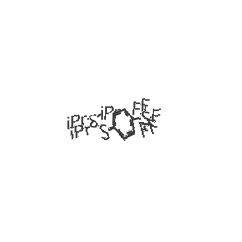 CC(C)S(Sc1ccc(S(F)(F)(F)(F)F)cc1)(C(C)C)C(C)C